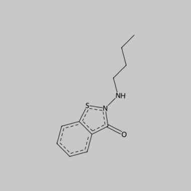 CCCCNn1sc2ccccc2c1=O